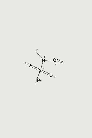 CON(C)S(=O)(=O)C(C)C